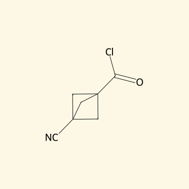 N#CC12CC(C(=O)Cl)(C1)C2